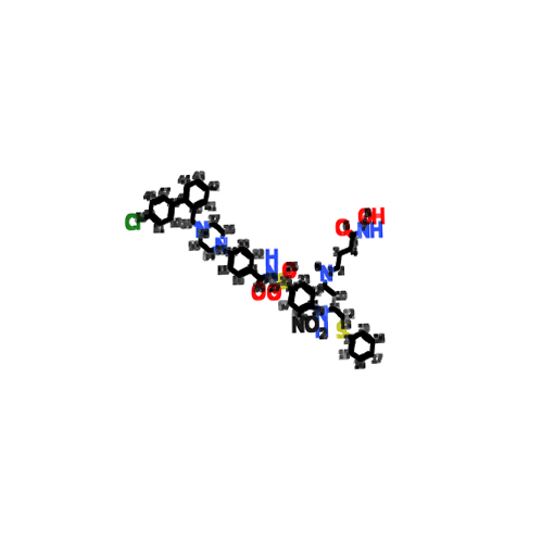 CN(CCCC(=O)NO)CC[C@H](CSc1ccccc1)Nc1ccc(S(=O)(=O)NC(=O)c2ccc(N3CCN(Cc4ccccc4-c4ccc(Cl)cc4)CC3)cc2)cc1[N+](=O)[O-]